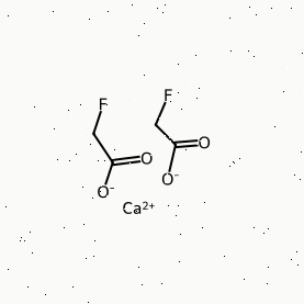 O=C([O-])CF.O=C([O-])CF.[Ca+2]